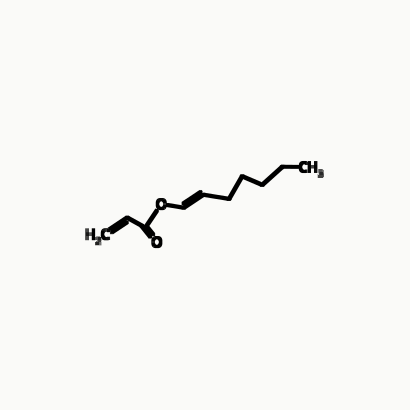 C=CC(=O)OC=CCCCCC